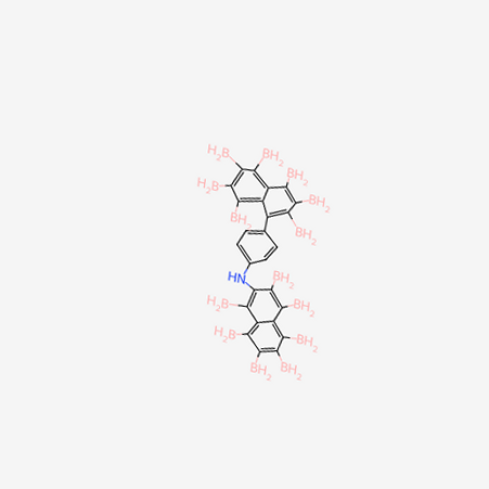 Bc1c(B)c(B)c2c(B)c(Nc3ccc(-c4c(B)c(B)c(B)c5c(B)c(B)c(B)c(B)c45)cc3)c(B)c(B)c2c1B